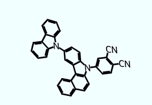 N#Cc1ccc(-n2c3ccc(-n4c5ccccc5c5ccccc54)cc3c3c4ccccc4ccc32)cc1C#N